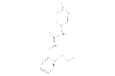 CCOc1ccccc1CNC(=O)NC1CCN(C)CC1